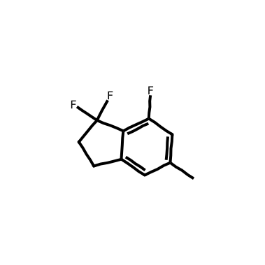 Cc1cc(F)c2c(c1)CCC2(F)F